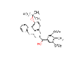 COc1cc(C(O)[C@H](CCCc2ccccc2)Cc2ccc(OC(C)(C)C(=O)O)cc2)cc(OC)c1C